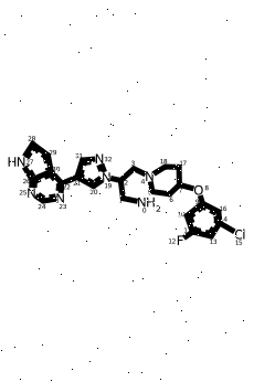 NCC(CN1CCC(Oc2cc(F)cc(Cl)c2)CC1)n1cc(-c2ncnc3[nH]ccc23)cn1